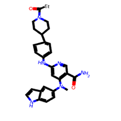 CCC(=O)N1CCC(c2ccc(Nc3cc(N(C)c4ccc5[nH]ccc5c4)c(C(N)=O)cn3)cc2)CC1